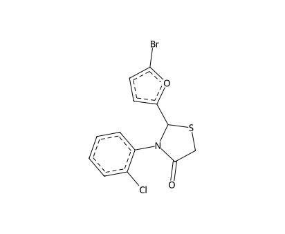 O=C1CSC(c2ccc(Br)o2)N1c1ccccc1Cl